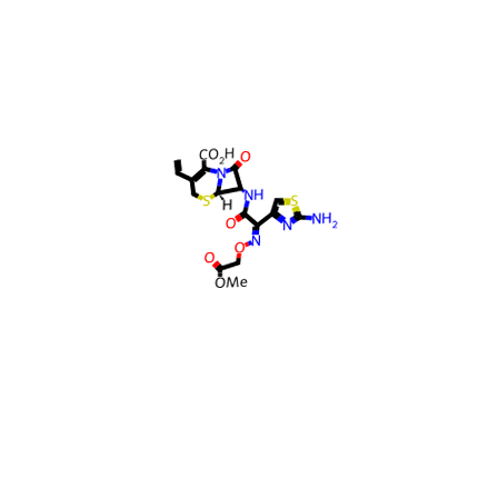 C=CC1=C(C(=O)O)N2C(=O)[C@@H](NC(=O)/C(=N\OCC(=O)OC)c3csc(N)n3)[C@H]2SC1